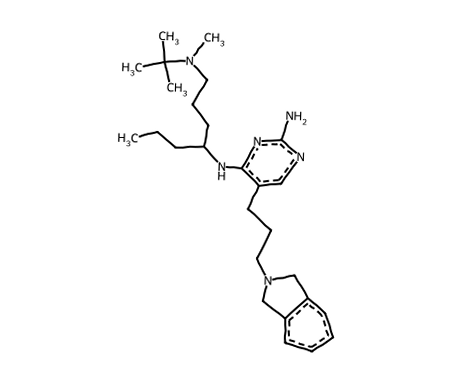 CCCC(CCCN(C)C(C)(C)C)Nc1nc(N)ncc1CCCN1Cc2ccccc2C1